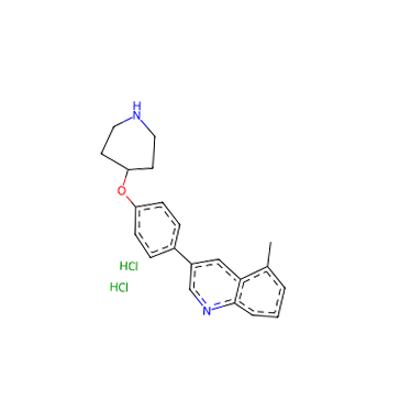 Cc1cccc2ncc(-c3ccc(OC4CCNCC4)cc3)cc12.Cl.Cl